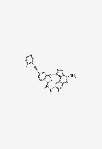 Cc1ccncc1C#Cc1ccc2c(c1)OCC2N(C)C(=O)c1cc2c(cc1F)nc(N)c1cnn(C)c12